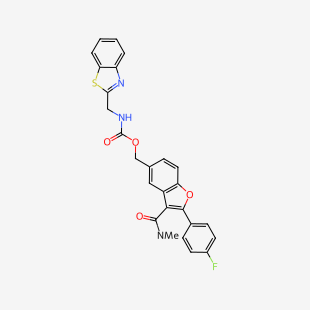 CNC(=O)c1c(-c2ccc(F)cc2)oc2ccc(COC(=O)NCc3nc4ccccc4s3)cc12